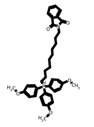 COc1ccc([PH](CCCCCCCCCCN2C(=O)c3ccccc3C2=O)(c2ccc(OC)cc2)c2ccc(OC)cc2)cc1